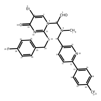 CCc1cn(C(C=O)N(C)Cc2ccc(-c3ccc(C(F)(F)F)cc3)nc2)c(SCc2ccc(F)cc2)nc1=O